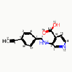 C#Cc1ccc(CNc2cnccc2C(=O)O)cc1